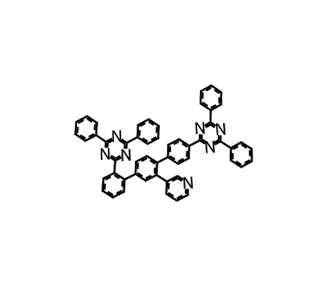 c1ccc(-c2nc(-c3ccccc3)nc(-c3ccc(-c4ccc(-c5ccccc5-c5nc(-c6ccccc6)nc(-c6ccccc6)n5)cc4-c4cccnc4)cc3)n2)cc1